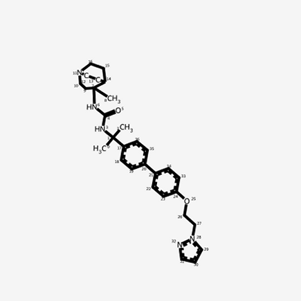 CC(C)(NC(=O)NC1(C)CCN2CCC1CC2)c1ccc(-c2ccc(OCCn3cccn3)cc2)cc1